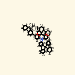 CC1(C)c2ccccc2-c2ccc(-c3ccc(N(c4ccc5c(c4)C(c4ccccc4)(c4ccccc4)c4ccccc4-5)c4ccccc4-c4cccc5cccc(C6CCCCC6)c45)cc3)cc21